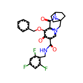 O=C(NCc1c(F)cc(F)cc1F)c1cn2c(c(OCc3ccccc3)c1=O)C(=O)N1C3CCC1(CC3)C2